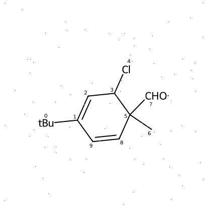 CC(C)(C)C1=CC(Cl)C(C)([C]=O)C=C1